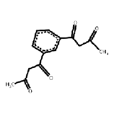 CC(=O)CC(=O)c1cccc(C(=O)CC(C)=O)c1